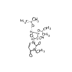 CC(C)OC[C@H]1O[C@@H](n2ccc(=O)n(C)c2=O)[C@@H](O)[C@H]1OC(C)C